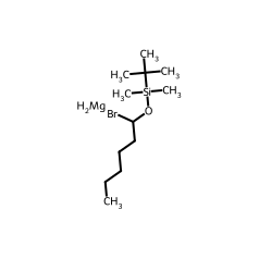 CCCCCC(Br)O[Si](C)(C)C(C)(C)C.[MgH2]